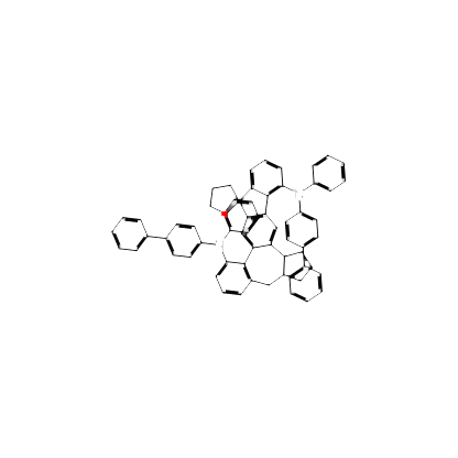 c1ccc(-c2ccc(N(c3ccccc3)c3cccc4c3-c3cc5c(cc3C3CCCC3C4)-c3c(N(c4ccccc4)c4ccc(-c6ccccc6)cc4)cccc3C53CCCC3)cc2)cc1